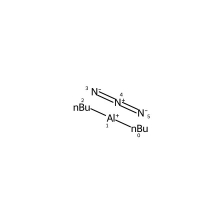 CCC[CH2][Al+][CH2]CCC.[N-]=[N+]=[N-]